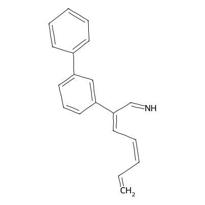 C=C/C=C\C=C(/C=N)c1cccc(-c2ccccc2)c1